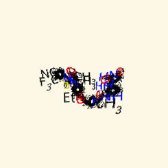 CCc1cc(N2C(=S)N(c3ccc(C#N)c(C(F)(F)F)c3)C(=O)C2(C)C)ccc1OCCC1CCN([C@@H](C)C(=O)Nc2cccc(NC3CCC(=O)NC3=O)c2)CC1